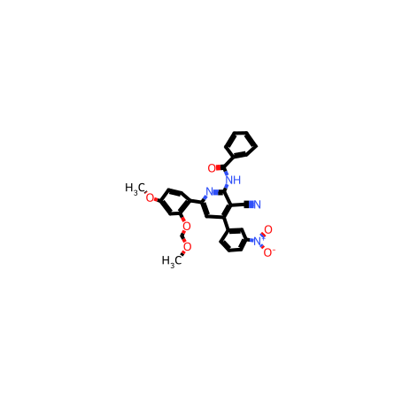 COCOc1cc(OC)ccc1-c1cc(-c2cccc([N+](=O)[O-])c2)c(C#N)c(NC(=O)c2ccccc2)n1